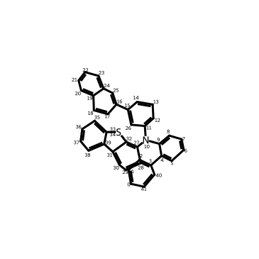 c1ccc(-c2ccccc2N(c2cccc(-c3ccc4ccccc4c3)c2)c2cccc3c2sc2ccccc23)cc1